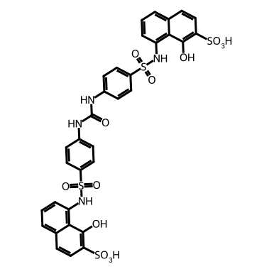 O=C(Nc1ccc(S(=O)(=O)Nc2cccc3ccc(S(=O)(=O)O)c(O)c23)cc1)Nc1ccc(S(=O)(=O)Nc2cccc3ccc(S(=O)(=O)O)c(O)c23)cc1